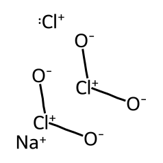 [Cl+].[Na+].[O-][Cl+][O-].[O-][Cl+][O-]